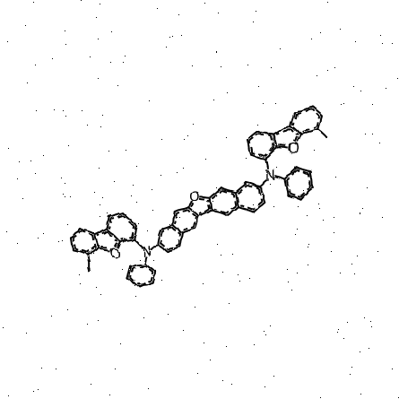 Cc1cccc2c1oc1c(N(c3ccccc3)c3ccc4cc5c(cc4c3)oc3cc4cc(N(c6ccccc6)c6cccc7c6oc6c(C)cccc67)ccc4cc35)cccc12